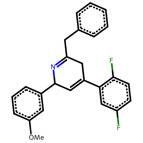 COc1cccc(C2C=C(c3cc(F)ccc3F)CC(Cc3ccccc3)=N2)c1